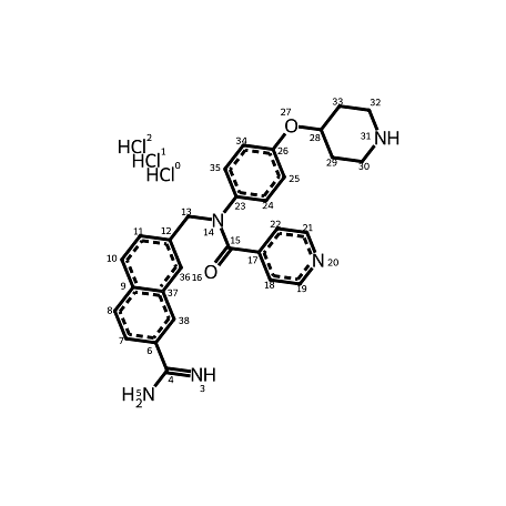 Cl.Cl.Cl.N=C(N)c1ccc2ccc(CN(C(=O)c3ccncc3)c3ccc(OC4CCNCC4)cc3)cc2c1